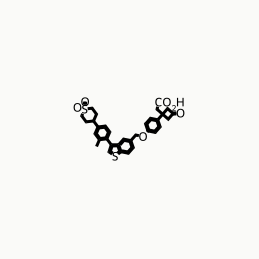 Cc1cc(C2CCS(=O)(=O)CC2)ccc1-c1csc2ccc(COc3ccc(C4(CC(=O)O)CC(=O)C4)cc3)cc12